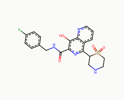 O=C(NCc1ccc(F)cc1)c1nc(C2CNCCS2(=O)=O)c2cccnc2c1O